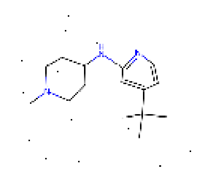 CN1CCC(Nc2cc(C(C)(C)C)ccn2)CC1